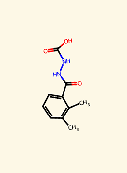 Cc1cccc(C(=O)NNC(=O)O)c1C